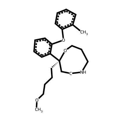 COCCCC[C@@]1(c2ccccc2Oc2ccccc2C)CCNCCCO1